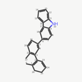 CC1=C(c2cc(-c3ccc4[nH]c5ccccc5c4c3)ccc2C)C=CCC1